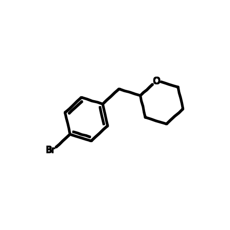 Brc1ccc(CC2CCCCO2)cc1